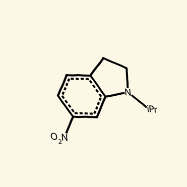 CC(C)N1CCc2ccc([N+](=O)[O-])cc21